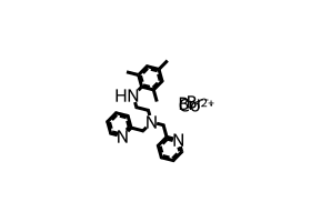 Cc1cc(C)c(NCCN(Cc2ccccn2)Cc2ccccn2)c(C)c1.[Br-].[Br-].[Co+2]